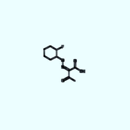 CC(=O)/C(=N/OC1CCCCC1F)C(=O)O